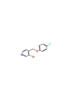 Fc1ccc(OCc2ccncc2Br)cc1